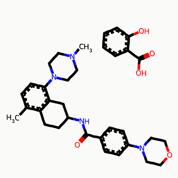 Cc1ccc(N2CCN(C)CC2)c2c1CCC(NC(=O)c1ccc(N3CCOCC3)cc1)C2.O=C(O)c1ccccc1O